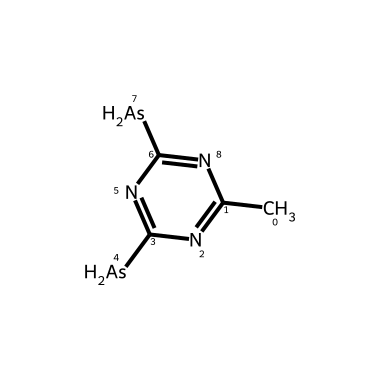 Cc1nc([AsH2])nc([AsH2])n1